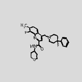 CC1CC=c2c(CN3CCC(F)(c4ccccc4)CC3)cc(C(=O)NC3CCOCC3)nc2=C1F